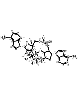 CC(C)(C)[Si](C)(C)OC1[C@@H]2C[C@@H](n3cnc4c(N)ncnc43)[C@@H]1OP(=O)(S)OC[C@H]1O[C@@H](n3cnc4c(N)ncnc43)[C@H](F)[C@@H]1OP(=O)(S)O2